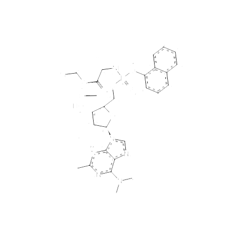 Cc1nc(N(C)C)c2ncn([C@@H]3O[C@](CCl)(COP(=O)(N[C@@H](C)C(=O)OCC(C)(C)C)Oc4cccc5ccccc45)[C@@H](O)[C@H]3F)c2n1